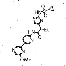 CCC(C(=O)Nc1ccc(-c2cncc(OC)n2)cn1)c1csc(NS(=O)(=O)C2CC2)n1